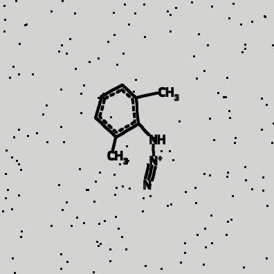 Cc1cccc(C)c1N[N+]#N